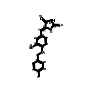 Cc1ccc(COc2ccc(/C=C3\SC(=S)NC3=O)cc2Br)cc1